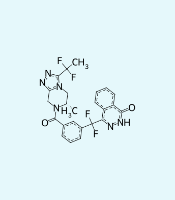 C[C@H]1Cn2c(nnc2C(C)(F)F)CN1C(=O)c1cccc(C(F)(F)c2n[nH]c(=O)c3ccccc23)c1